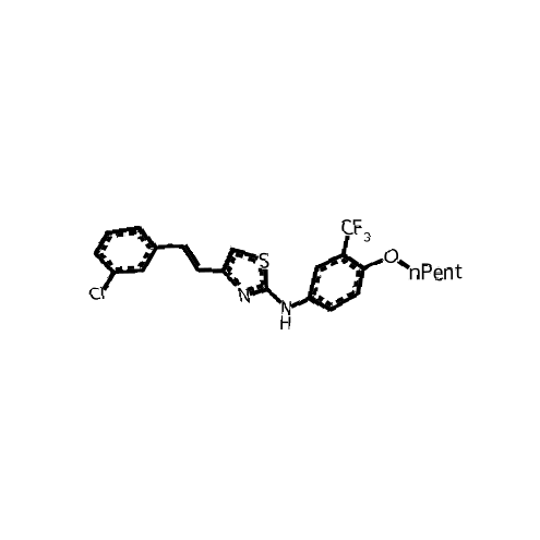 CCCCCOc1ccc(Nc2nc(C=Cc3cccc(Cl)c3)cs2)cc1C(F)(F)F